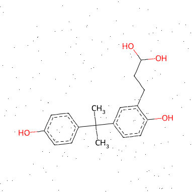 CC(C)(c1ccc(O)cc1)c1ccc(O)c(CCC(O)O)c1